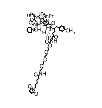 CCCOC(CC(C(C)C)N(CCC)C(=O)[C@@H](NC(=O)[C@H]1CCCCN1C)[C@@H](C)CC)c1nc(C(=O)N[C@@H](Cc2ccc(C)cc2)C[C@H](C)C(=O)NNC(=O)OCCOCCOCCOCCNC(=O)CCCCCN2C(=O)C=CC2=O)cs1